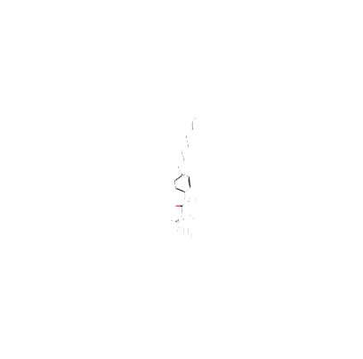 CCCCCCCCc1ccc(NC(=O)[C@H](N)[C@@H](C)O)cc1